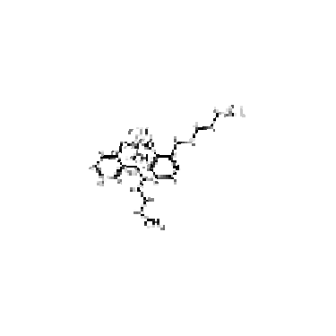 CCCCCCc1ccccc1[O][Sn]([CH3])([CH3])[O]c1ccccc1CCCCCC